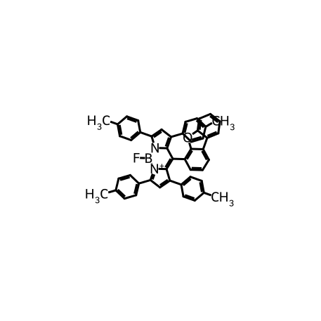 Cc1ccc(C2=CC(c3ccc(C)cc3)=[N+]3B(F)n4c(-c5ccc(C)cc5)cc(-c5ccc(C)cc5)c4C(c4cccc5c4oc4ccccc45)=C23)cc1